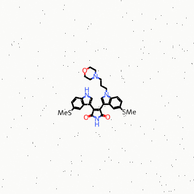 CSc1ccc2[nH]cc(C3=C(c4cn(CCCN5CCOCC5)c5ccc(SC)cc45)C(=O)NC3=O)c2c1